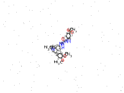 COc1ccc([C@@]23CC/C(=N\NC(=O)Nc4ccc(S(C)(=O)=O)cc4)C[C@@H]2N(C)CC3)cc1OC